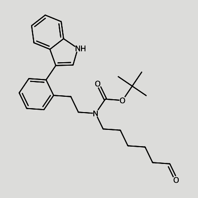 CC(C)(C)OC(=O)N(CCCCCC=O)CCc1ccccc1-c1c[nH]c2ccccc12